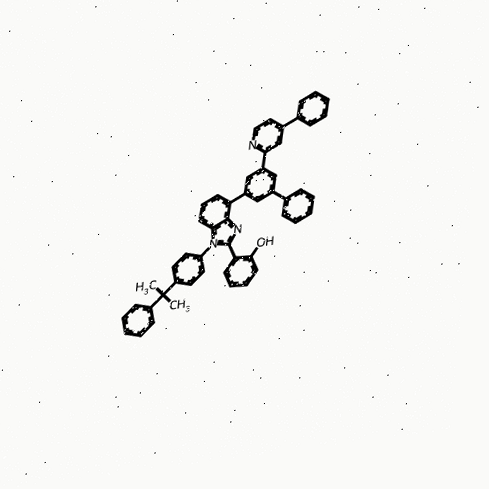 CC(C)(c1ccccc1)c1ccc(-n2c(-c3ccccc3O)nc3c(-c4cc(-c5ccccc5)cc(-c5cc(-c6ccccc6)ccn5)c4)cccc32)cc1